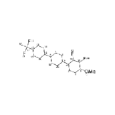 COC1CCC(C2CCC(C3CCC(C(C)(F)F)CC3)CC2)C(F)C1F